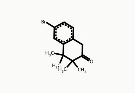 CC1(C)C(=O)Cc2ccc(Br)cc2C1(C)C